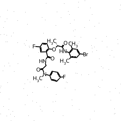 Cc1cc(Br)cc(C)c1NC(=O)[C@@H](C)Oc1ccc(F)cc1C(=O)NCC(=O)N(C)c1ccc(F)cc1